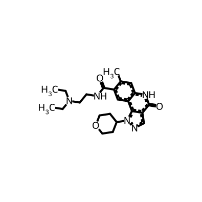 CCN(CC)CCNC(=O)c1cc2c(cc1C)[nH]c(=O)c1cnn(C3CCOCC3)c12